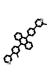 Cc1cc(-c2ccc(-c3c4ccccc4c(-c4ccc(-c5cccnc5)c(C)c4)c4ccccc34)cc2)ccn1